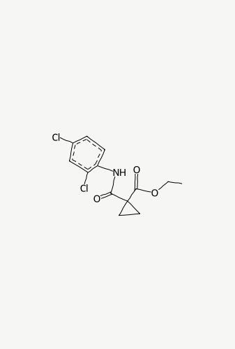 CCOC(=O)C1(C(=O)Nc2ccc(Cl)cc2Cl)CC1